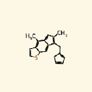 CC1=C(CC2=CC=CC2)C2=CC3SC=CC3=C(C)C2=C1